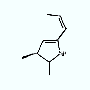 C/C=C\C1=C[C@H](C)C(C)N1